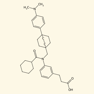 CN(C)c1ccc(C23CCC(CN(C(=O)C4CCCCC4)c4cccc(CCC(=O)O)c4)(CC2)CC3)cc1